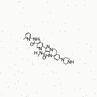 Cc1cccc(NC(=O)c2cnc(-c3nn4c(c3C(N)=O)Nc3ccc(N5CCNCC5)cc3CC4)cc2C)n1